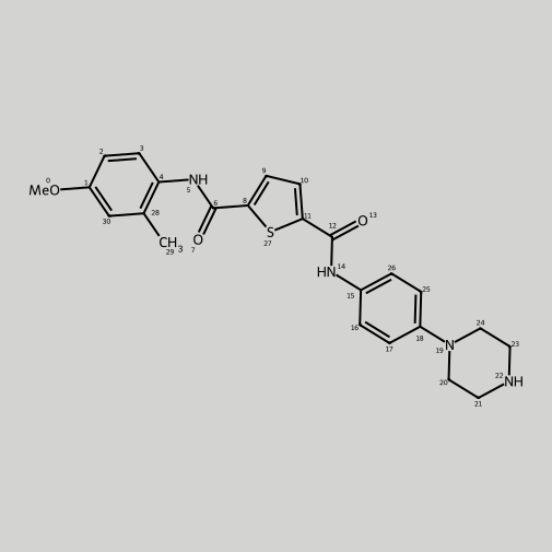 COc1ccc(NC(=O)c2ccc(C(=O)Nc3ccc(N4CCNCC4)cc3)s2)c(C)c1